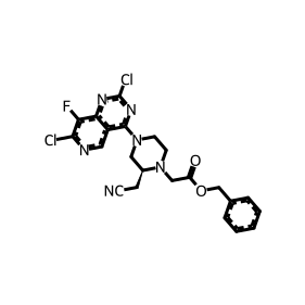 N#CC[C@H]1CN(c2nc(Cl)nc3c(F)c(Cl)ncc23)CCN1CC(=O)OCc1ccccc1